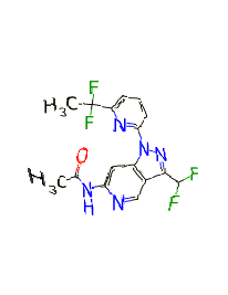 CC(=O)Nc1cc2c(cn1)c(C(F)F)nn2-c1cccc(C(C)(F)F)n1